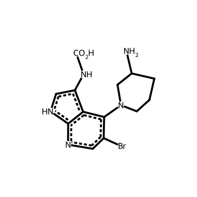 NC1CCCN(c2c(Br)cnc3[nH]cc(NC(=O)O)c23)C1